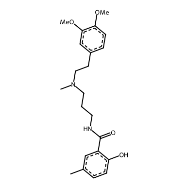 COc1ccc(CCN(C)CCCNC(=O)c2cc(C)ccc2O)cc1OC